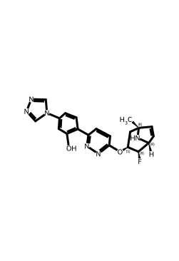 C[C@@]12C=C[C@@H](N1)[C@@H](F)[C@@H](Oc1ccc(-c3ccc(-n4cnnc4)cc3O)nn1)C2